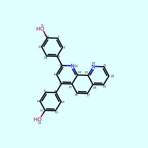 Oc1ccc(-c2cc(-c3ccc(O)cc3)c3ccc4cccnc4c3n2)cc1